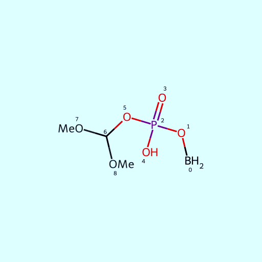 BOP(=O)(O)OC(OC)OC